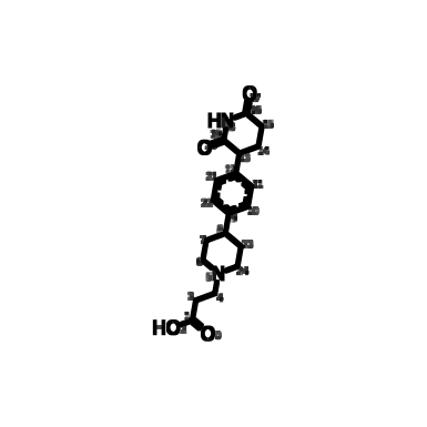 O=C(O)CCN1CCC(c2ccc(C3CCC(=O)NC3=O)cc2)CC1